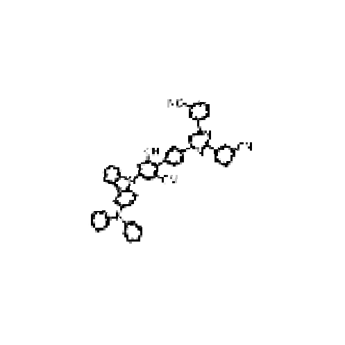 N#Cc1cccc(-c2cc(-c3ccc(-c4c(C#N)cc(-n5c6ccccc6c6cc(N(c7ccccc7)c7ccccc7)ccc65)cc4C#N)cc3)nc(-c3cccc(C#N)c3)n2)c1